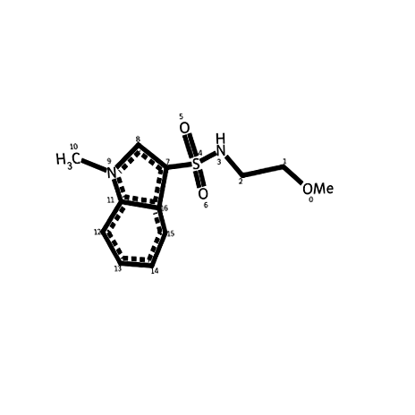 COCCNS(=O)(=O)c1cn(C)c2ccccc12